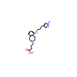 Cn1cc(CCCOc2cccc3c2CCN(CCCC(=O)O)CC3)cn1